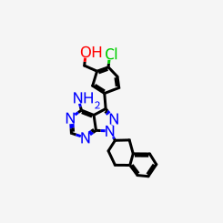 Nc1ncnc2c1c(-c1ccc(Cl)c(CO)c1)nn2C1CCc2ccccc2C1